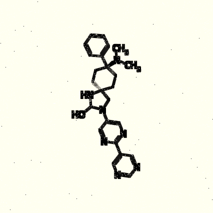 CN(C)[C@]1(c2ccccc2)CC[C@]2(CC1)CN(c1cnc(-c3cncnc3)nc1)C(O)N2